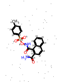 Cc1ccc(S(=O)(=O)ONC(=O)c2c(C(N)=O)ccc3ccccc23)cc1